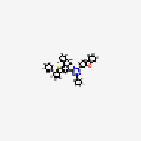 c1ccc(-c2nc(-c3ccc4c(c3)oc3ccccc34)nc(-c3cc4c5cccc(-c6ccccc6)c5sc4c4c3ccc3ccccc34)n2)cc1